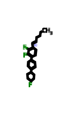 CCCC/C=C/c1ccc(-c2ccc(C3CCC(F)CC3)cc2)c(F)c1F